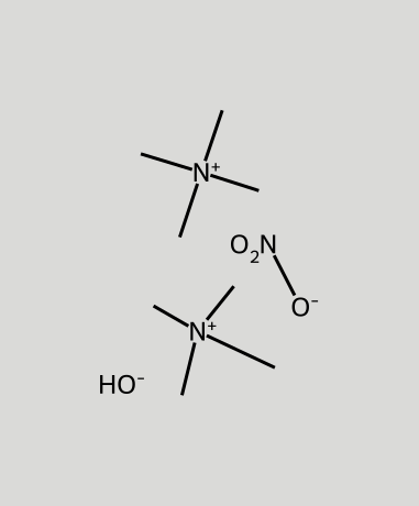 C[N+](C)(C)C.C[N+](C)(C)C.O=[N+]([O-])[O-].[OH-]